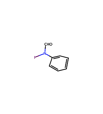 O=[C]N(I)c1ccccc1